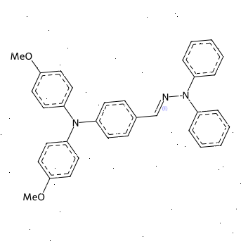 COc1ccc(N(c2ccc(/C=N/N(c3ccccc3)c3ccccc3)cc2)c2ccc(OC)cc2)cc1